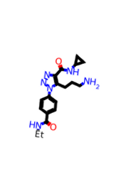 CCNC(=O)c1ccc(-n2nnc(C(=O)NC3CC3)c2CCCN)cc1